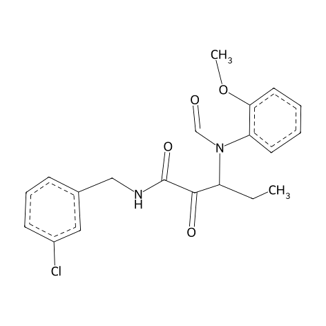 CCC(C(=O)C(=O)NCc1cccc(Cl)c1)N(C=O)c1ccccc1OC